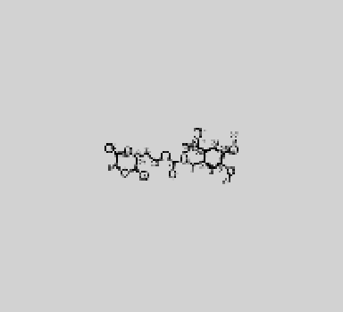 COc1cc(COC(=O)OCC[C@@H]2OC(=O)COC2=O)c([N+](=O)[O-])cc1OC